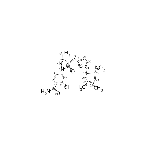 CC1=NN(c2ccc(C(N)=O)c(Cl)c2)C(=O)/C1=C\c1ccc(-c2cc(C)c(C)cc2[N+](=O)[O-])o1